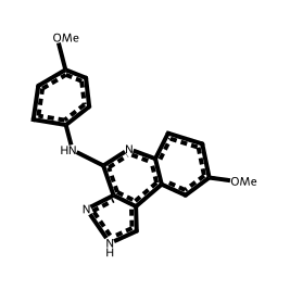 COc1ccc(Nc2nc3ccc(OC)cc3c3c[nH]nc23)cc1